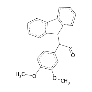 COc1ccc(C([C]=O)C2c3ccccc3-c3ccccc32)cc1OC